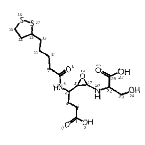 O=C(O)CCC(NC(=O)CCCCC1CCSS1)C1OC1NC(CO)C(=O)O